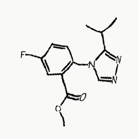 COC(=O)c1cc(F)ccc1-n1cnnc1C(C)C